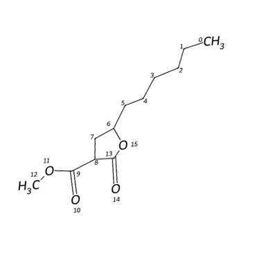 CCCCCCC1CC(C(=O)OC)C(=O)O1